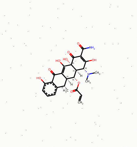 C=CC(=O)O[C@@H]1[C@@H]2C(=C(O)[C@@]3(O)C(=O)C(C(N)=O)=C(O)[C@H](N(C)C)[C@@H]13)C(=O)c1c(O)cccc1[C@H]2C